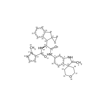 C=C1Nc2cc(NC(=O)[C@@H](NC(=O)c3ccnn3C)C3c4ccccc4CC34CC4)ccc2C12CCOCC2